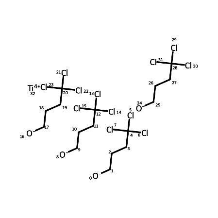 [O-]CCCC(Cl)(Cl)Cl.[O-]CCCC(Cl)(Cl)Cl.[O-]CCCC(Cl)(Cl)Cl.[O-]CCCC(Cl)(Cl)Cl.[Ti+4]